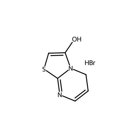 Br.OC1=CSC2=NC=CCN12